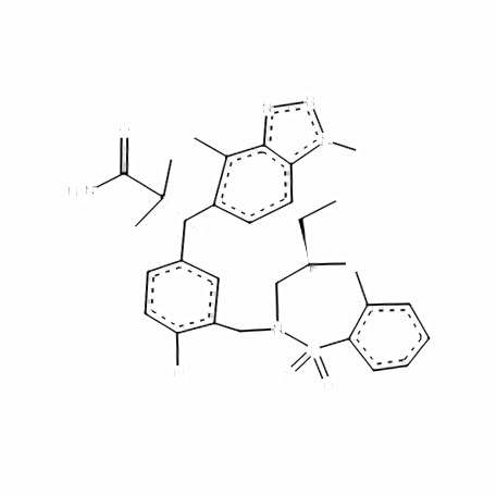 CC[C@@H]1CN(Cc2cc([C@@H](c3ccc4c(nnn4C)c3C)C(C)(C)C(N)=O)ccc2Cl)S(=O)(=O)c2ccccc2O1